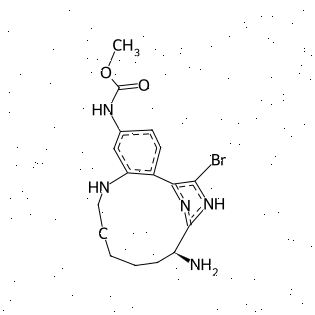 COC(=O)Nc1ccc2c(c1)NCCCCC[C@H](N)c1nc-2c(Br)[nH]1